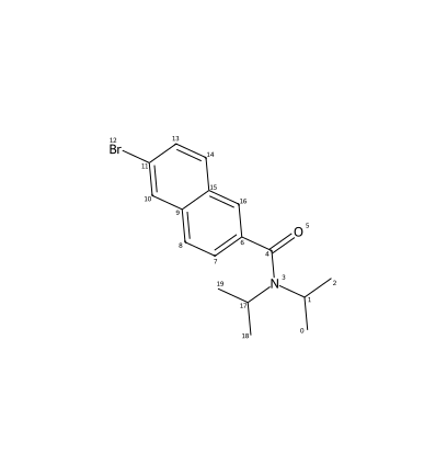 CC(C)N(C(=O)c1ccc2cc(Br)ccc2c1)C(C)C